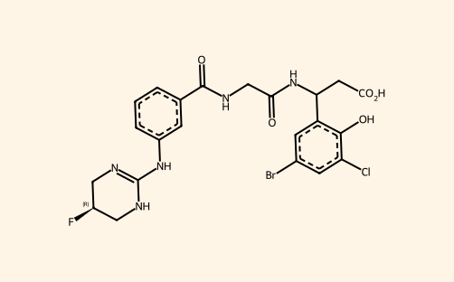 O=C(O)CC(NC(=O)CNC(=O)c1cccc(NC2=NC[C@H](F)CN2)c1)c1cc(Br)cc(Cl)c1O